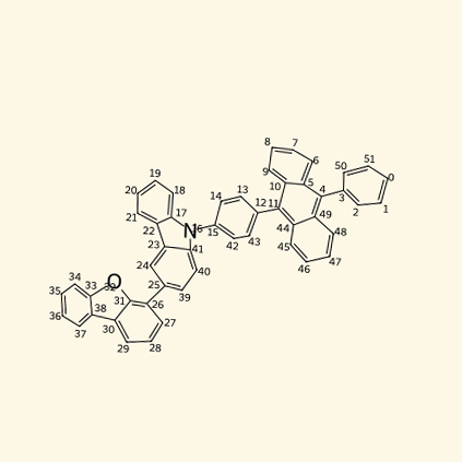 c1ccc(-c2c3ccccc3c(-c3ccc(-n4c5ccccc5c5cc(-c6cccc7c6oc6ccccc67)ccc54)cc3)c3ccccc23)cc1